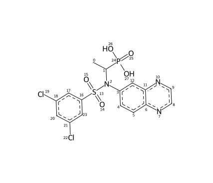 CC(N(c1ccc2nccnc2c1)S(=O)(=O)c1cc(Cl)cc(Cl)c1)P(=O)(O)O